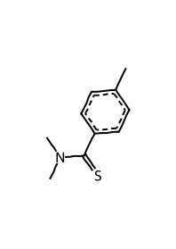 Cc1ccc(C(=S)N(C)C)cc1